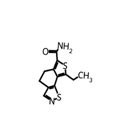 CCc1sc(C(N)=O)c2c1-c1sncc1CC2